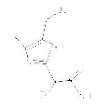 Cc1nc(C(C(N)=O)C(C)(C)C)[nH]c1CN